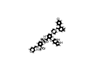 CC1(C)CCC(CN2CCN(c3ccc(C(=O)NS(=O)(=O)c4ccc(NCC5CCOCC5)c([N+](=O)[O-])c4)c(OC4=CNC5NC=CC5=C4)c3)CC2)=C(c2ccc(Cl)cc2)C1